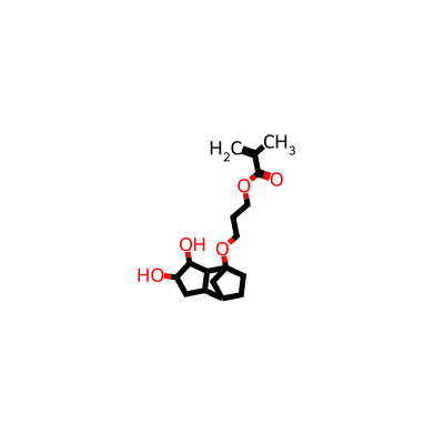 C=C(C)C(=O)OCCCOC12CCC(C1)C1CC(O)C(O)C12